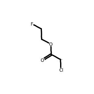 O=C([CH]Cl)OCCF